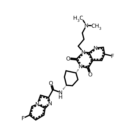 CN(C)CCCn1c(=O)n([C@H]2CC[C@@H](NC(=O)c3cn4cc(F)ccc4n3)CC2)c(=O)c2cc(F)cnc21